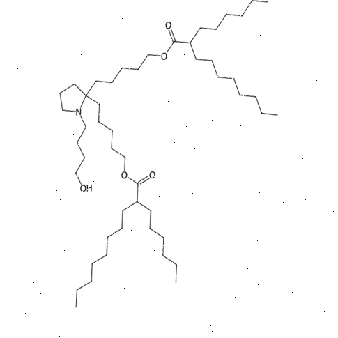 CCCCCCCCC(CCCCCC)C(=O)OCCCCCC1(CCCCCOC(=O)C(CCCCCC)CCCCCCCC)CCCN1CCCCO